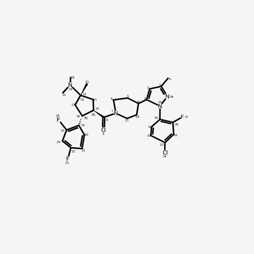 Cc1cc(C2CCN(C(=O)[C@@H]3C[C@@](C)(N(C)C)C[C@H]3c3ccc(F)cc3F)CC2)n(-c2ccc(Cl)cc2F)n1